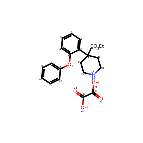 CCOC(=O)C1(c2ccccc2Oc2ccccc2)CCNCC1.O=C(O)C(=O)O